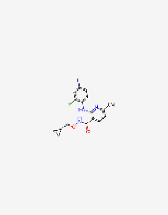 N#Cc1ccc(C(=O)NOCC2CC2)c(Nc2ccc(I)cc2F)n1